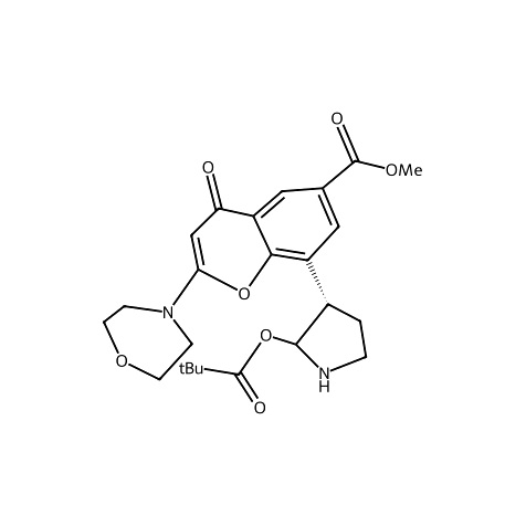 COC(=O)c1cc([C@@H]2CCNC2OC(=O)C(C)(C)C)c2oc(N3CCOCC3)cc(=O)c2c1